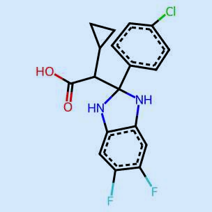 O=C(O)C(C1CC1)C1(c2ccc(Cl)cc2)Nc2cc(F)c(F)cc2N1